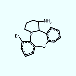 NC1CCCN2c3c(Br)cccc3Oc3ccccc3C12